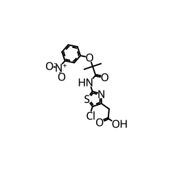 CC(C)(Oc1cccc([N+](=O)[O-])c1)C(=O)Nc1nc(CC(=O)O)c(Cl)s1